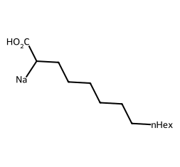 CCCCCCCCCCCC[CH]([Na])C(=O)O